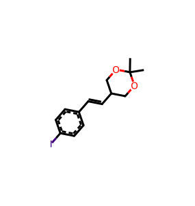 CC1(C)OCC(C=Cc2ccc(I)cc2)CO1